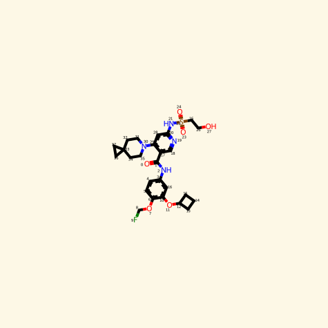 O=C(Nc1ccc(OCF)c(OC2CCC2)c1)c1cnc(NS(=O)(=O)CCO)cc1N1CCC2(CC1)CC2